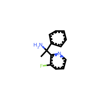 CC(N)(c1ccccc1)c1ncccc1F